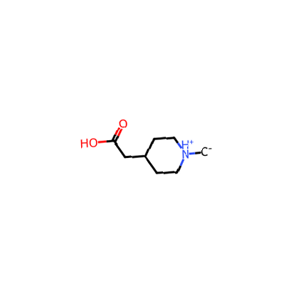 [CH2-][NH+]1CCC(CC(=O)O)CC1